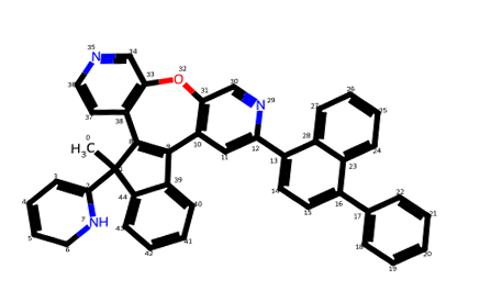 CC1(C2=CC=CCN2)C2=C(c3cc(-c4ccc(-c5ccccc5)c5ccccc45)ncc3Oc3cnccc32)c2ccccc21